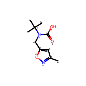 Cc1cc(CN(C(=O)O)C(C)(C)C)on1